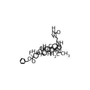 C=C(C)[C@@H]1CC[C@]2(NCCN3CCNC3=O)CC[C@]3(C)[C@H](CC[C@@H]4[C@@]5(C)CC=C(C6=CC[C@](CF)(C(=O)OCc7ccccc7)CC6)C(C)(C)[C@@H]5CC[C@]43C)[C@@H]12